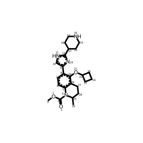 COC(=O)N1c2ccc(-c3c[nH]c(C4CCNCC4)n3)c(OC3CCC3)c2CCC1C